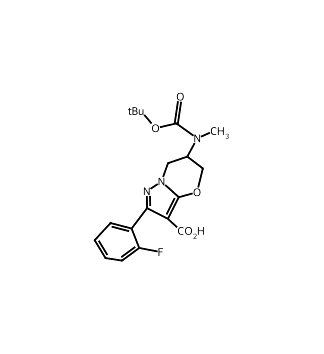 CN(C(=O)OC(C)(C)C)C1COc2c(C(=O)O)c(-c3ccccc3F)nn2C1